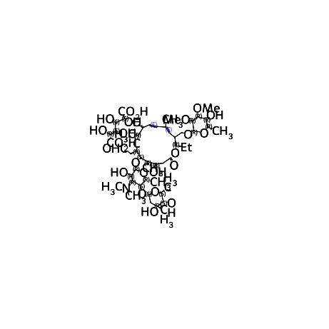 CC[C@H]1OC(=O)C[C@@H](O)[C@H](C)[C@@H](O[C@@H]2O[C@H](C)[C@@H](O[C@H]3C[C@@](C)(O)[C@@H](O)[C@H](C)O3)[C@H](N(C)C)[C@H]2O)[C@@H](CC=O)C[C@@H](C)C(=O)/C=C/C(C)=C/C1CO[C@@H]1O[C@H](C)[C@@H](O)[C@@H](OC)[C@H]1OC.O=C(O)[C@@H](O)[C@@H](O)[C@H](O)[C@@H](O)C(=O)O